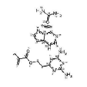 C#N.C=C(C)C(=O)OCCc1nc(N)nc(N)n1.NC(N)=O.c1cc2[nH]nncc-2n1